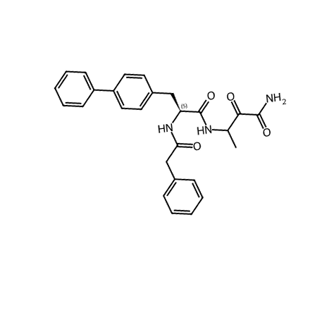 CC(NC(=O)[C@H](Cc1ccc(-c2ccccc2)cc1)NC(=O)Cc1ccccc1)C(=O)C(N)=O